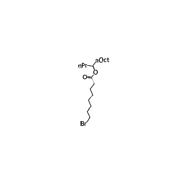 CCCCCCCCC(CCC)OC(=O)CCCCCCCBr